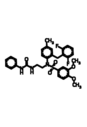 COc1ccc(S(=O)(=O)N(CCNC(=O)Nc2ccccc2)c2ccc(C)cc2Cc2c(F)cccc2F)cc1OC